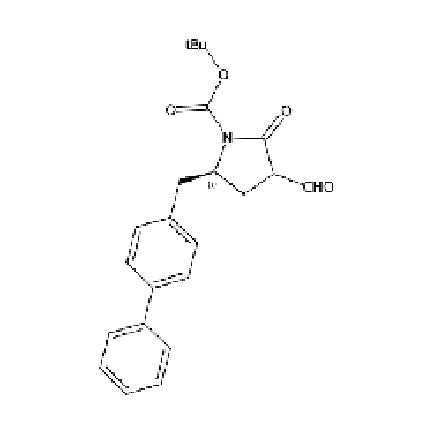 CC(C)(C)OC(=O)N1C(=O)C(C=O)C[C@H]1Cc1ccc(-c2ccccc2)cc1